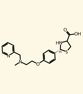 CN(CCOc1ccc([C@@H]2NC(C(=O)O)CS2)cc1)Cc1ccccn1